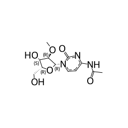 CO[C@@H]1[C@@H](O)[C@@H](CO)O[C@H]1n1ccc(NC(C)=O)nc1=O